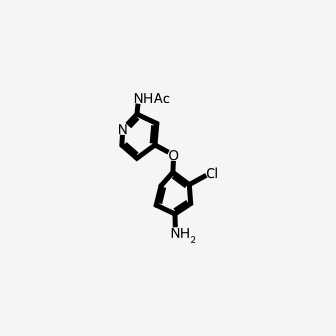 CC(=O)Nc1cc(Oc2ccc(N)cc2Cl)ccn1